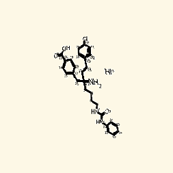 I.NC(CCCCNC(=O)Nc1ccccc1)(CCc1ccc(Cl)cc1)Cc1ccc(C(=O)O)cc1